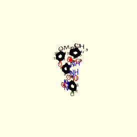 COc1ccc(Oc2ccc(NS(=O)(=O)c3ccc(Cl)c4nonc34)c(NS(=O)(=O)c3ccc(C)cc3)c2)cc1